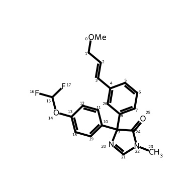 COCC=Cc1cccc(C2(c3ccc(OC(F)F)cc3)N=CN(C)C2=O)c1